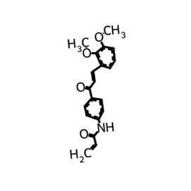 C=CC(=O)Nc1ccc(C(=O)C=Cc2cccc(OC)c2OC)cc1